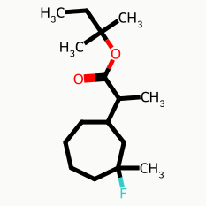 CCC(C)(C)OC(=O)C(C)C1CCCCC(C)(F)C1